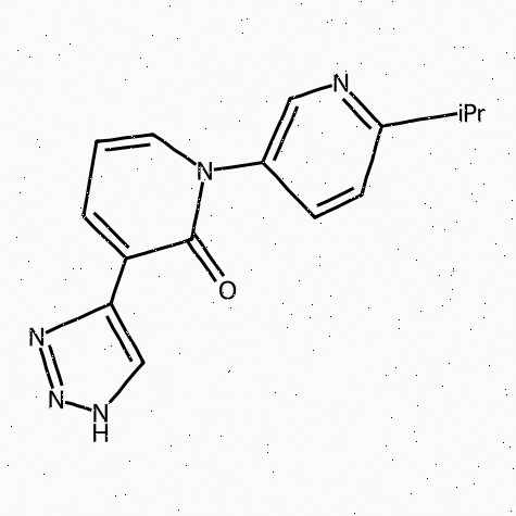 CC(C)c1ccc(-n2cccc(-c3c[nH]nn3)c2=O)cn1